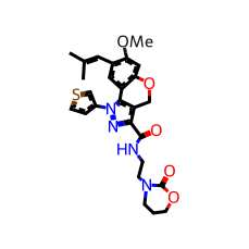 COc1cc2c(cc1C=C(C)C)-c1c(c(C(=O)NCCN3CCCOC3=O)nn1-c1ccsc1)CO2